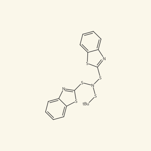 CC(C)(C)SN(Sc1nc2ccccc2s1)Sc1nc2ccccc2s1